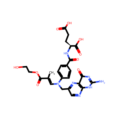 CC(=CN(Cc1cnc2[nH]c(N)nc(=O)c2n1)c1ccc(C(=O)N[C@@H](CCC(=O)O)C(=O)O)cc1)C(=O)OCCO